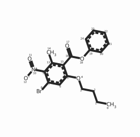 CCCCOc1cc(Br)c([N+](=O)[O-])c(C)c1C(=O)Oc1ccccc1